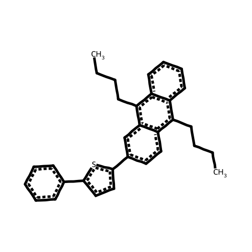 CCCCc1c2ccccc2c(CCCC)c2cc(-c3ccc(-c4ccccc4)s3)ccc12